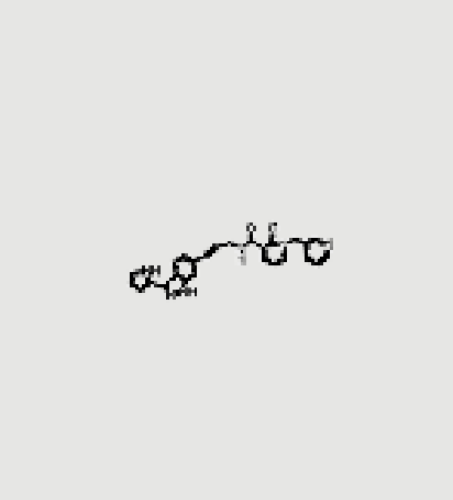 O=C(NCC#Cc1ccc2c(-c3ccc[nH]3)n[nH]c2c1)c1cccn(Cc2cccnc2)c1=O